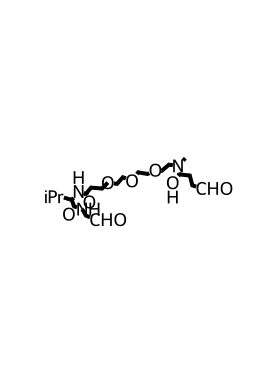 CC(C)C(NC(=O)CCOCCOCCOCCN(C)C(O)CCC=O)C(=O)NCC=O